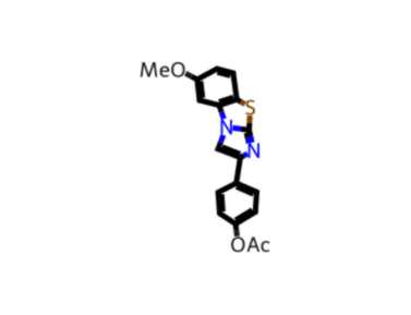 COc1ccc2sc3nc(-c4ccc(OC(C)=O)cc4)cn3c2c1